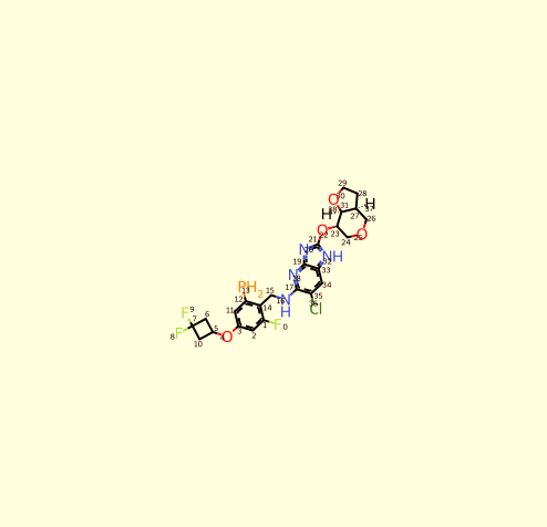 Fc1cc(OC2CC(F)(F)C2)cc(P)c1CNc1nc2nc(O[C@@H]3COC[C@@H]4CCO[C@@H]43)[nH]c2cc1Cl